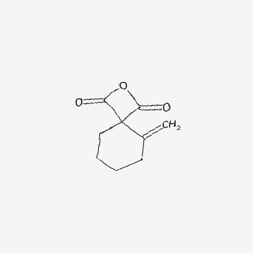 C=C1CCCCC12C(=O)OC2=O